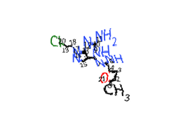 Cc1ccc(C(=N)/N=c2\[nH]c(N)nc3c2cnn3CCCl)o1